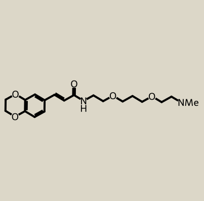 CNCCOCCCOCCNC(=O)/C=C/c1ccc2c(c1)OCCO2